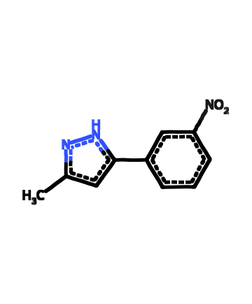 Cc1cc(-c2cccc([N+](=O)[O-])c2)[nH]n1